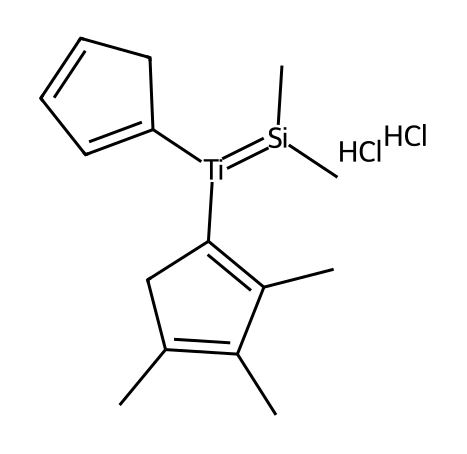 CC1=C(C)C(C)=[C]([Ti]([C]2=CC=CC2)=[Si](C)C)C1.Cl.Cl